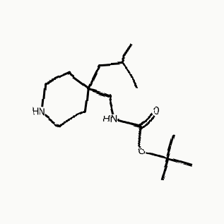 CC(C)CC1(CNC(=O)OC(C)(C)C)CCNCC1